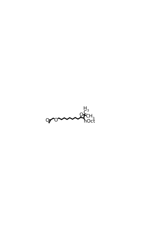 CCCCCCCCC1C(CCCCCCCCOCC2CO2)OC1(C)C